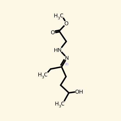 CC/C(CCC(C)O)=N\NCC(=O)OC